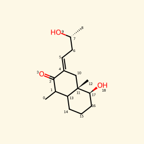 CC1C(=O)/C(=C/C[C@@H](C)O)C[C@@]2(C)C1CCC[C@@H]2O